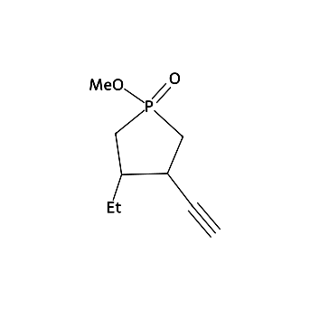 C#CC1CP(=O)(OC)CC1CC